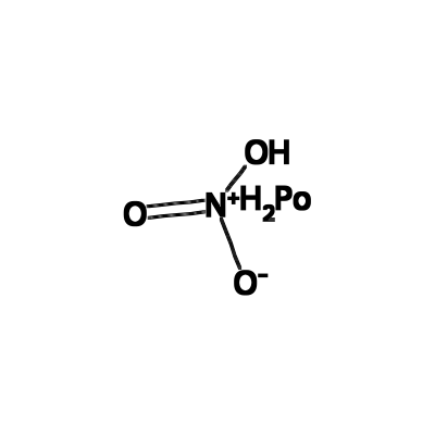 O=[N+]([O-])O.[PoH2]